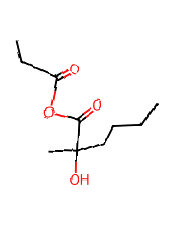 CCCCC(C)(O)C(=O)OC(=O)CC